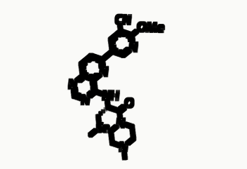 COc1ncc(-c2ccc3ncnc(N[C@@H](C[Se]C)C(=O)N4CCN(C)CC4)c3n2)cc1C#N